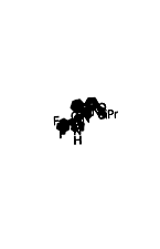 CC(C)OC(=O)N[C@H]1CCCC[C@@H]1n1cnc(C(=O)N2CCNCC2Cc2cc(F)cc(F)c2)c1-c1ccccc1